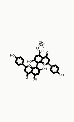 O.O.O.O=c1cc(-c2ccc(O)cc2)oc2c(-c3c(O)cc(O)c4c(=O)cc(-c5ccc(O)cc5)oc34)c(O)cc(O)c12